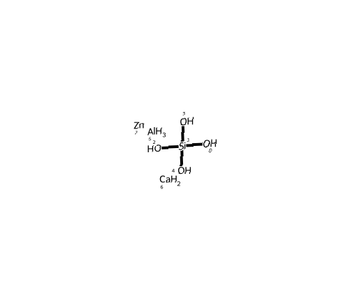 O[Si](O)(O)O.[AlH3].[CaH2].[Zn]